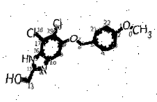 COc1ccc(COc2cc3nc(CO)[nH]c3c(Cl)c2Cl)cc1